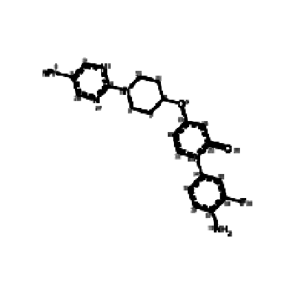 CCCc1cnc(N2CCC(Oc3ccn(-c4ccc(N)c(F)c4)c(=O)c3)CC2)nc1